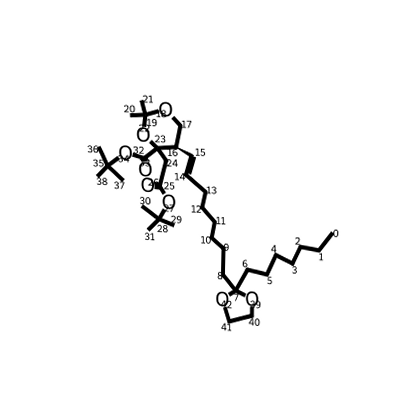 CCCCCCCC1(CCCCCC/C=C/[C@@H]2COC(C)(C)OC2(CC(=O)OC(C)(C)C)C(=O)OC(C)(C)C)OCCO1